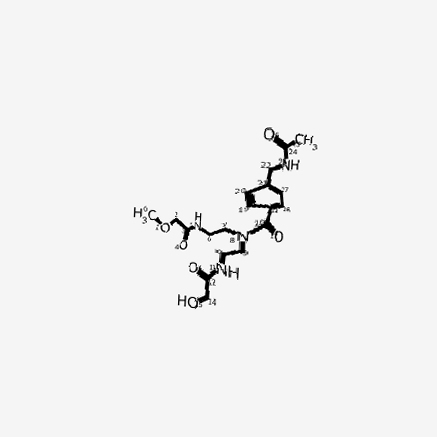 COCC(=O)NCCN(CCNC(=O)CO)C(=O)c1ccc(CNC(C)=O)cc1